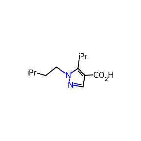 CC(C)CCn1ncc(C(=O)O)c1C(C)C